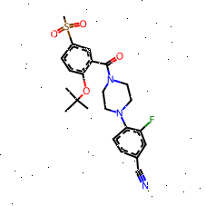 CC(C)(C)Oc1ccc(S(C)(=O)=O)cc1C(=O)N1CCN(c2ccc(C#N)cc2F)CC1